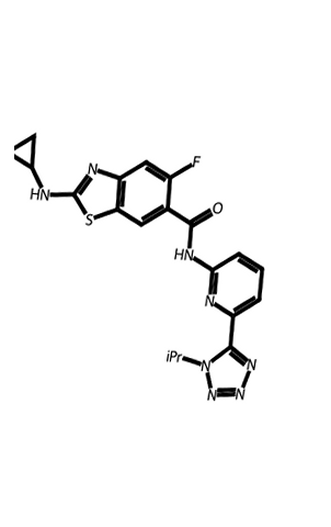 CC(C)n1nnnc1-c1cccc(NC(=O)c2cc3sc(NC4CC4)nc3cc2F)n1